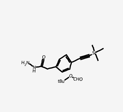 CC(C)(C)OC=O.C[Si](C)(C)C#Cc1ccc(CC(=O)NN)cc1